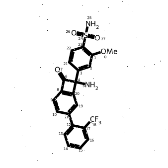 COc1cc(C2(N)C(=O)c3ccc(-c4ccccc4C(F)(F)F)cc32)ccc1S(N)(=O)=O